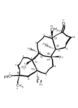 C[C@@]1(O)CC[C@@]2(C)[C@@H](CC[C@@H]3[C@@H]2CC[C@]2(C)C(=O)CC[C@@H]32)C1